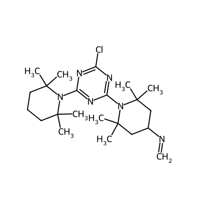 C=NC1CC(C)(C)N(c2nc(Cl)nc(N3C(C)(C)CCCC3(C)C)n2)C(C)(C)C1